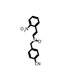 N#Cc1ccc(C[S+]([O-])C=Cc2ccccc2[N+](=O)[O-])cc1